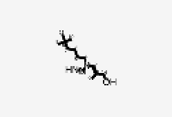 C/C(=C\N(CCCCC(C)(C)C)N=N)CO